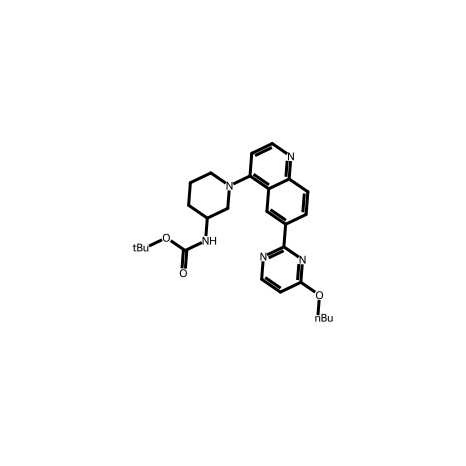 CCCCOc1ccnc(-c2ccc3nccc(N4CCCC(NC(=O)OC(C)(C)C)C4)c3c2)n1